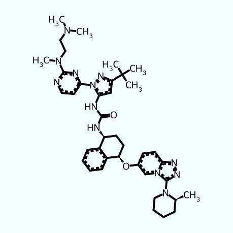 C[C@H]1CCCCN1c1nnc2ccc(O[C@@H]3CC[C@H](NC(=O)Nc4cc(C(C)(C)C)nn4-c4ccnc(N(C)CCN(C)C)n4)c4ccccc43)cn12